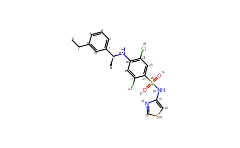 CCc1cccc([C@H](C)Nc2cc(F)c(S(=O)(=O)Nc3cscn3)cc2Cl)c1